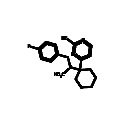 N#Cc1nccc(C2(N(Cc3ccc(F)cc3)C(=O)O)CCCCC2)n1